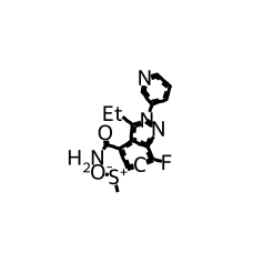 CCc1c2c(C(N)=O)c([S+](C)[O-])cc(F)c2nn1-c1cccnc1